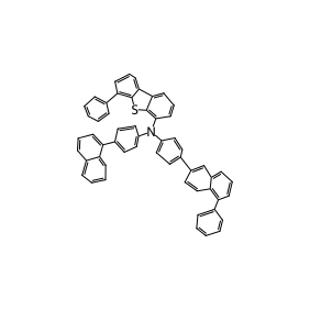 c1ccc(-c2cccc3cc(-c4ccc(N(c5ccc(-c6cccc7ccccc67)cc5)c5cccc6c5sc5c(-c7ccccc7)cccc56)cc4)ccc23)cc1